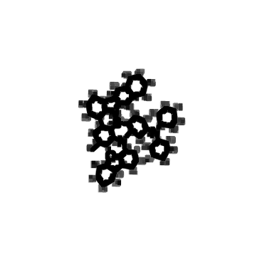 Cc1cc2c3c(c1)N(c1cccc4c1oc1ccccc14)c1cc(N(c4ccccc4)c4ccccc4)ccc1B3n1c3cc4ccccc4cc3c3cccc-2c31